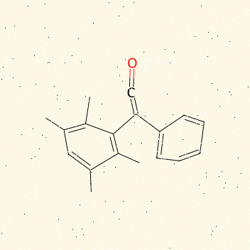 Cc1cc(C)c(C)c(C(=C=O)c2ccccc2)c1C